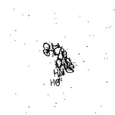 O=C(O)c1ccnc(-c2ccc(NCCO)c([N+](=O)[O-])c2[N+](=O)[O-])c1